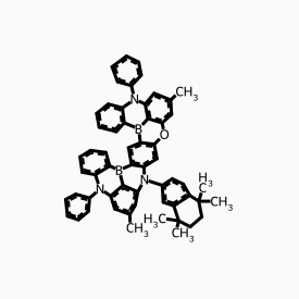 Cc1cc2c3c(c1)N(c1ccccc1)c1ccccc1B3c1cc3c(cc1O2)N(c1ccc2c(c1)C(C)(C)CCC2(C)C)c1cc(C)cc2c1B3c1ccccc1N2c1ccccc1